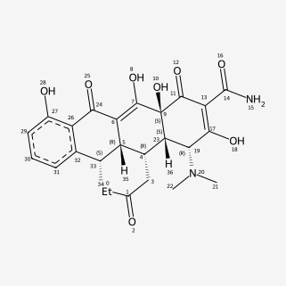 CCC(=O)C[C@@H]1[C@H]2C(=C(O)[C@]3(O)C(=O)C(C(N)=O)=C(O)[C@H](N(C)C)[C@H]13)C(=O)c1c(O)cccc1[C@H]2C